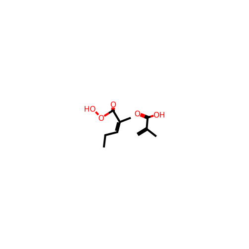 C=C(C)C(=O)O.CCC=C(C)C(=O)OO